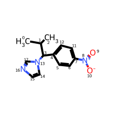 CC(C)C(c1ccc([N+](=O)[O-])cc1)n1ccnc1